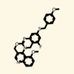 COc1ccc(CSc2cc(F)c3c(c2)P=C2OCc4cnc5cccc(OC)c5c4N2C3)cc1